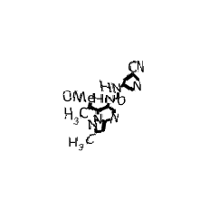 COC(C)c1c(NC(=O)Nc2cncc(C#N)c2)cnc2cc(C)nn12